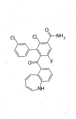 NC(=O)c1cc(F)c(C(=O)c2cccc3c2C=CC=CN3)c(-c2cccc(Cl)c2)c1Cl